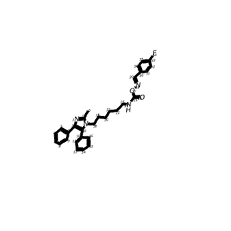 Cc1nc(-c2ccccc2)c(-c2ccccc2)n1CCCCCCNC(=O)ON=Cc1ccc(F)cc1